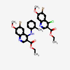 CCOC(=O)c1cnc2cc(OC)c(Br)cc2c1Cl.CCOC(=O)c1cnc2cc(OC)c(Br)cc2c1Nc1ccccc1C